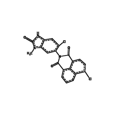 Cn1c(=O)[nH]c2cc(Cl)c(N3C(=O)c4cccc5c(Cl)ccc(c45)C3=O)cc21